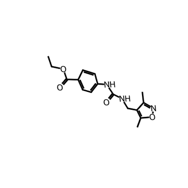 CCOC(=O)c1ccc(NC(=O)NCc2c(C)noc2C)cc1